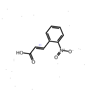 O=C(O)/C=C/c1ccccc1[N+](=O)[O-]